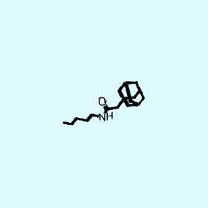 CCCCCNC(=O)CC12CC3CC(CC(C3)C1)C2